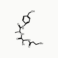 CC(C)C(NC(=O)CCC(C)(C)C)C(=O)N[C@@H](C)C(=O)Nc1ccc(CO)cc1